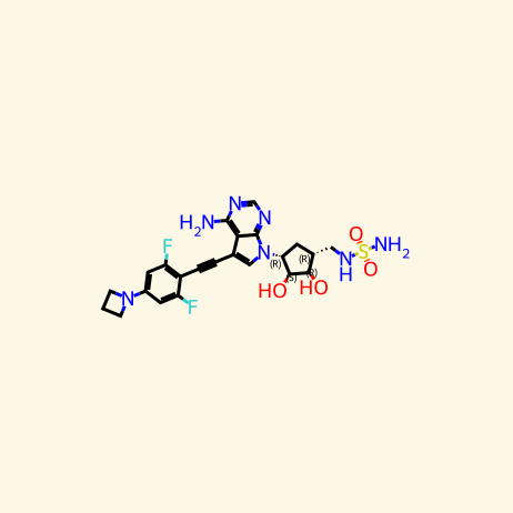 Nc1ncnc2c1c(C#Cc1c(F)cc(N3CCC3)cc1F)cn2[C@@H]1C[C@H](CNS(N)(=O)=O)[C@@H](O)[C@H]1O